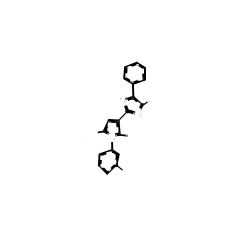 Cc1cccc(-n2c(C)cc(-c3nc(-c4ccccc4)c(C)[nH]3)c2C)c1